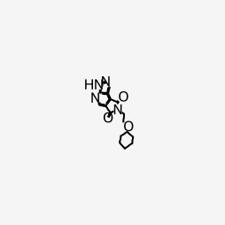 O=C1c2cnc3[nH]ncc3c2C(=O)N1CCOC1CCCCC1